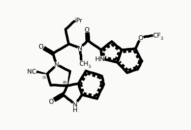 CC(C)CC(C(=O)N1C[C@]2(C[C@H]1C#N)C(=O)Nc1ccccc12)N(C)C(=O)c1cc2c(OC(F)(F)F)cccc2[nH]1